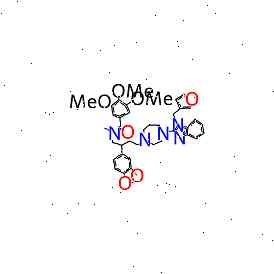 COc1cc(C(=O)N(C)CC(CCN2CCCN(c3nc4ccccc4n3Cc3ccoc3)CC2)c2ccc3c(c2)OCO3)cc(OC)c1OC